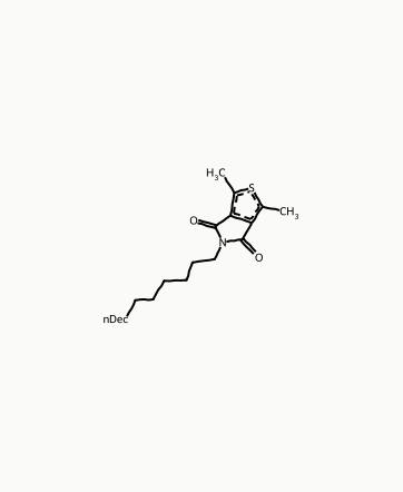 CCCCCCCCCCCCCCCCN1C(=O)c2c(C)sc(C)c2C1=O